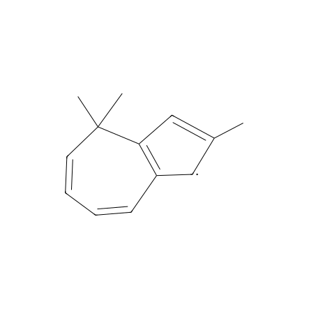 CC1=CC2=C([CH]1)C=CC=CC2(C)C